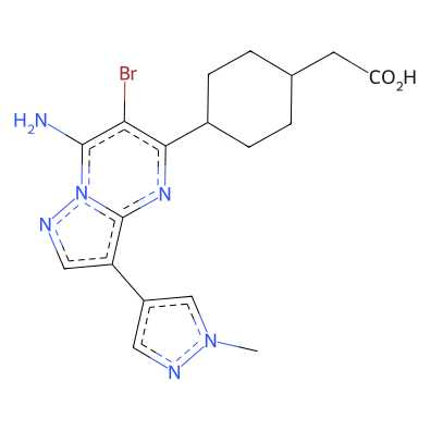 Cn1cc(-c2cnn3c(N)c(Br)c(C4CCC(CC(=O)O)CC4)nc23)cn1